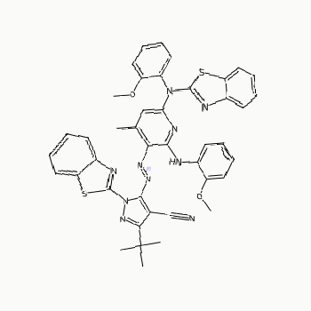 COc1ccccc1Nc1nc(N(c2nc3ccccc3s2)c2ccccc2OC)cc(C)c1/N=N/c1c(C#N)c(C(C)(C)C)nn1-c1nc2ccccc2s1